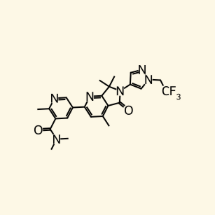 Cc1cc(-c2cnc(C)c(C(=O)N(C)C)c2)nc2c1C(=O)N(c1cnn(CC(F)(F)F)c1)C2(C)C